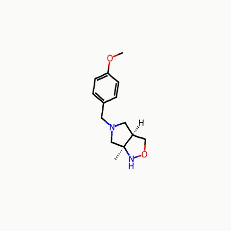 COc1ccc(CN2C[C@H]3CON[C@@]3(C)C2)cc1